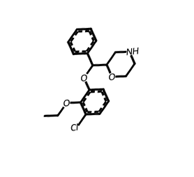 CCOc1c(Cl)cccc1OC(c1ccccc1)C1CNCCO1